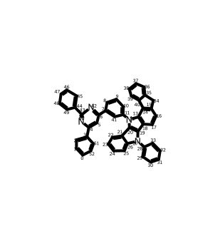 c1ccc(-c2cc(-c3cccc(-n4c5c6c(ccc5c5c4c4ccccc4n5-c4ccccc4)Cc4ccccc4-6)c3)nc(-c3ccccc3)n2)cc1